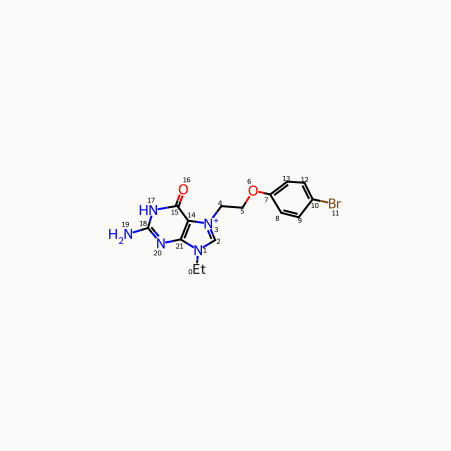 CCn1c[n+](CCOc2ccc(Br)cc2)c2c(=O)[nH]c(N)nc21